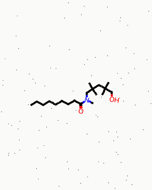 CCCCCCCCC(=O)N(C)CC(C)(C)CC(C)(C)CO